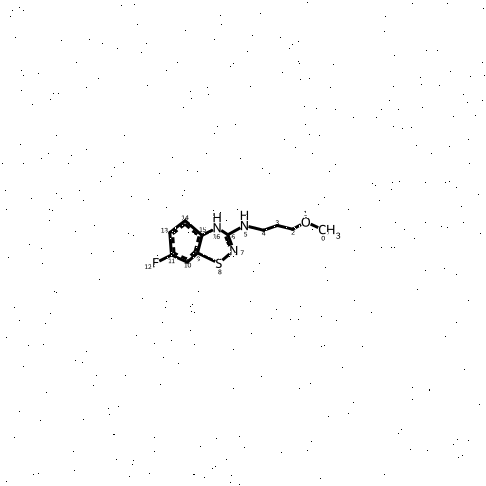 COCCCNC1=NSc2cc(F)ccc2N1